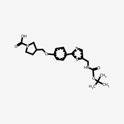 CC(C)(C)OC(=O)NCc1cnc(-c2ccc(OCC3CCN(C(=O)O)C3)cc2)s1